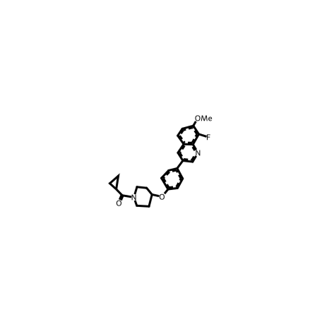 COc1ccc2cc(-c3ccc(OC4CCN(C(=O)C5CC5)CC4)cc3)cnc2c1F